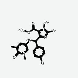 CCCCOC(=O)c1c(C(Nc2cc(C)c(=O)n(C)c2)c2ccc(Cl)cc2)nc(Br)n1CCC